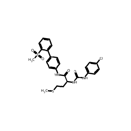 CSCCC(NC(=O)Nc1ccc(Cl)cc1)C(=O)Nc1ccc(-c2ccccc2S(C)(=O)=O)cc1